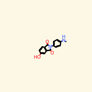 CNc1ccc(N2C(=O)c3ccc(O)cc3C2=O)cc1